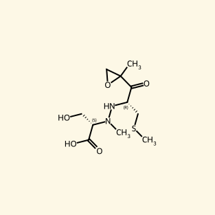 CSC[C@H](NN(C)[C@@H](CO)C(=O)O)C(=O)C1(C)CO1